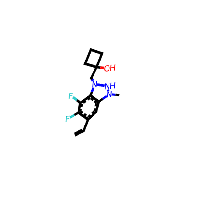 C=Cc1cc2c(c(F)c1F)N(CC1(O)CCC1)NN2C